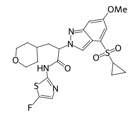 COc1cc(S(=O)(=O)C2CC2)c2cn(C(CC3CCOCC3)C(=O)Nc3ncc(F)s3)nc2c1